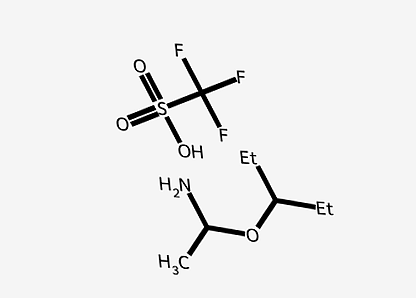 CCC(CC)OC(C)N.O=S(=O)(O)C(F)(F)F